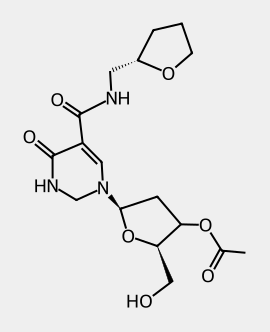 CC(=O)OC1C[C@H](N2C=C(C(=O)NC[C@@H]3CCCO3)C(=O)NC2)O[C@@H]1CO